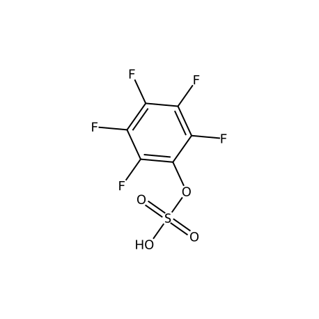 O=S(=O)(O)Oc1c(F)c(F)c(F)c(F)c1F